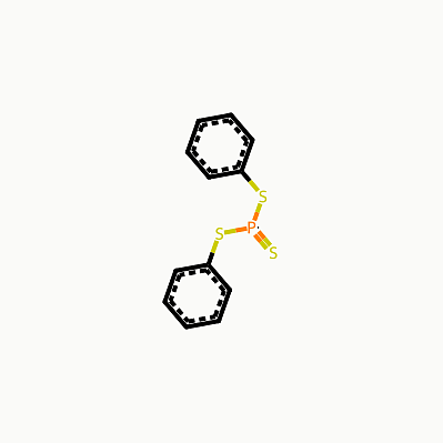 S=[P](Sc1ccccc1)Sc1ccccc1